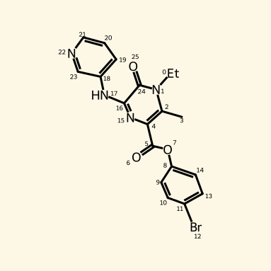 CCn1c(C)c(C(=O)Oc2ccc(Br)cc2)nc(Nc2cccnc2)c1=O